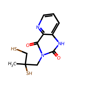 CC(S)(CS)Cn1c(=O)[nH]c2cccnc2c1=O